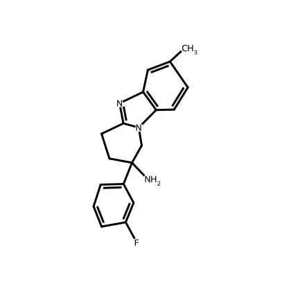 Cc1ccc2c(c1)nc1n2CC(N)(c2cccc(F)c2)CC1